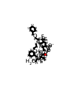 C=CCCN(CCOCc1ccccc1)c1nc(-c2nnc(C(CCC=C)(OCc3ccccc3)C(F)(F)F)o2)c([N+](=O)[O-])cc1C(F)(F)F